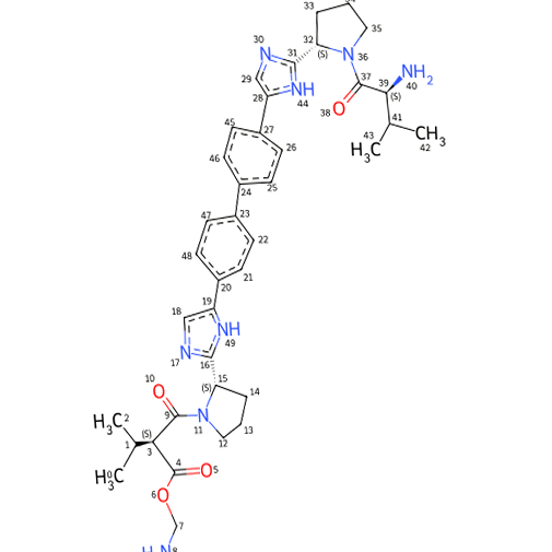 CC(C)[C@H](C(=O)OCN)C(=O)N1CCC[C@H]1c1ncc(-c2ccc(-c3ccc(-c4cnc([C@@H]5CCCN5C(=O)[C@@H](N)C(C)C)[nH]4)cc3)cc2)[nH]1